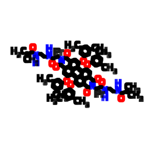 C=C(C)C(=O)NCCNC(=O)C(C(C)C)N1C(=O)c2cc(Oc3cc(C)cc(C)c3)c3c4c(Oc5cc(C)cc(C)c5)cc5c6c(cc(Oc7cc(C)cc(C)c7)c(c7c(Oc8cc(C)cc(C)c8)cc(c2c37)C1=O)c64)C(=O)N(C(C(=O)NCCNC(=O)C(=C)C)C(C)C)C5=O